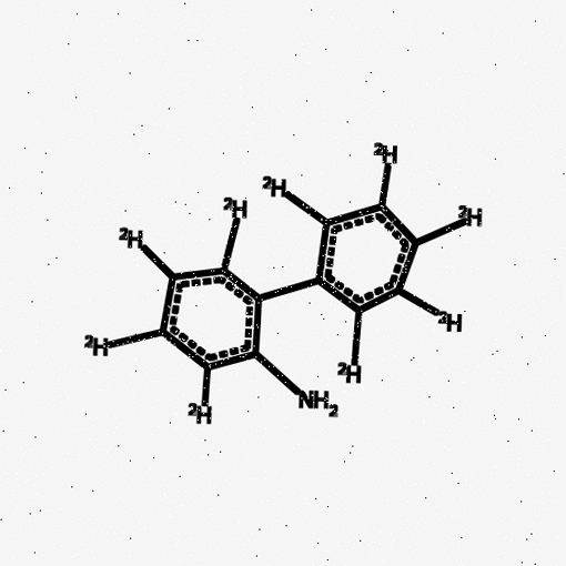 [2H]c1c([2H])c([2H])c(-c2c([2H])c([2H])c([2H])c([2H])c2N)c([2H])c1[2H]